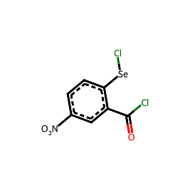 O=C(Cl)c1cc([N+](=O)[O-])ccc1[Se]Cl